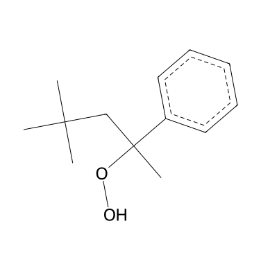 CC(C)(C)CC(C)(OO)c1ccccc1